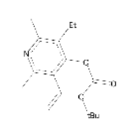 C=Cc1c(C)nc(C)c(CC)c1OC(=O)OC(C)(C)C